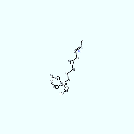 C/C=C/COCCC[Si](OC)(OC)OC